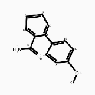 COc1ccc(-c2cc[c]cc2C(N)=O)cc1